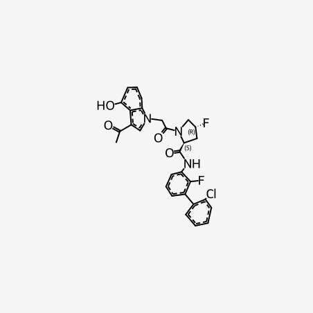 CC(=O)c1cn(CC(=O)N2C[C@H](F)C[C@H]2C(=O)Nc2cccc(-c3ccccc3Cl)c2F)c2cccc(O)c12